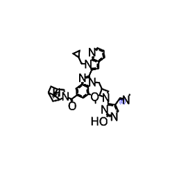 C/N=C/c1cnc(O)nc1N1CC(Cn2c(-c3cc4cccnc4n3CC3CC3)nc3cc(C(=O)N4CC5CC6CC4[C@H]65)cc(OC)c32)C1